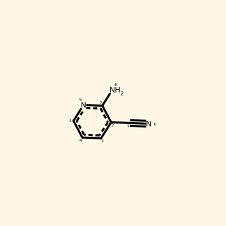 N#Cc1cc[c]nc1N